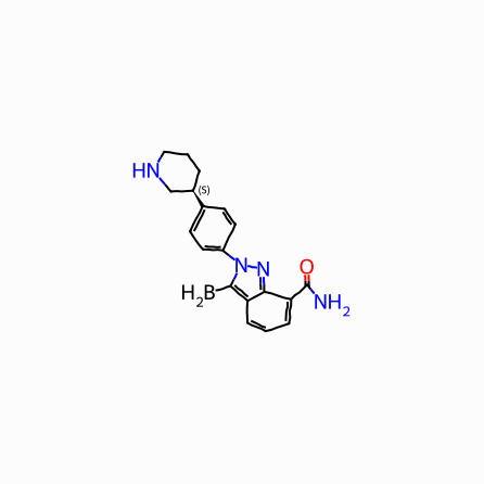 Bc1c2cccc(C(N)=O)c2nn1-c1ccc([C@@H]2CCCNC2)cc1